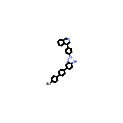 CC(C)(C)c1ccc(-c2ccc(C3=C/C(=N/Nc4ccc(-c5cncc6ccccc56)cc4)C(=N)C=C3)cc2)cc1